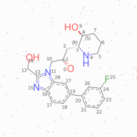 O=C(C[C@H]1NCCC[C@@H]1O)Cn1c(CO)nc2ccc(-c3cccc(F)c3)cc21